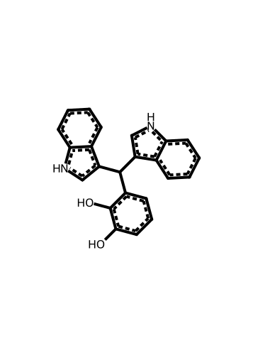 Oc1cccc(C(c2c[nH]c3ccccc23)c2c[nH]c3ccccc23)c1O